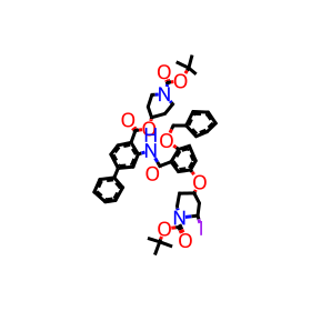 CC(C)(C)OC(=O)N1CCC(OC(=O)c2ccc(-c3ccccc3)cc2NC(=O)c2cc(OC3CCN(C(=O)OC(C)(C)C)C(I)C3)ccc2OCc2ccccc2)CC1